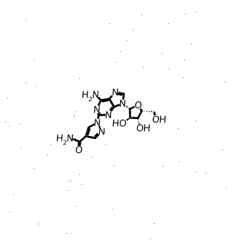 NC(=O)c1cnn(-c2nc(N)c3ncn([C@@H]4O[C@H](CO)[C@H](O)[C@H]4O)c3n2)c1